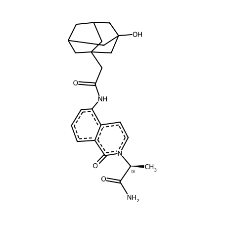 C[C@@H](C(N)=O)n1ccc2c(NC(=O)CC34CC5CC(CC(O)(C5)C3)C4)cccc2c1=O